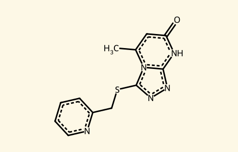 Cc1cc(=O)[nH]c2nnc(SCc3ccccn3)n12